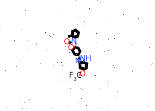 Cc1ccccc1N1C[C@]2(CC[C@@H](c3nc4cc(OC(F)(F)F)ccc4[nH]3)CC2)OC1=O